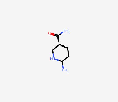 NC(=O)C1CCC(N)NC1